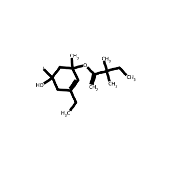 C=C(OC1(C)C=C(CC)CC(O)(I)C1)C(C)(C)CC